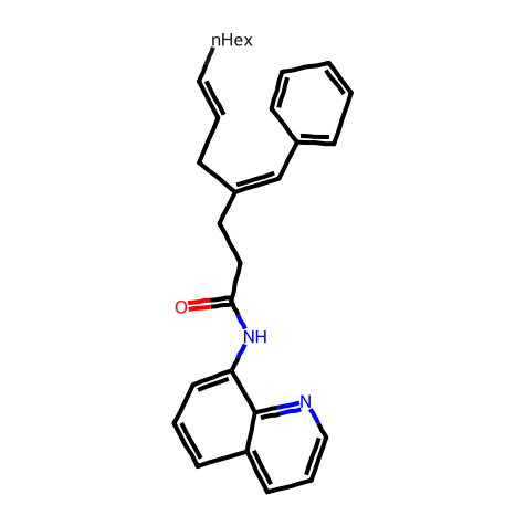 CCCCCCC=CCC(=Cc1ccccc1)CCC(=O)Nc1cccc2cccnc12